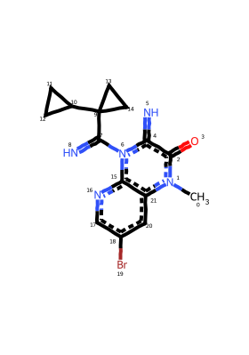 Cn1c(=O)c(=N)n(C(=N)C2(C3CC3)CC2)c2ncc(Br)cc21